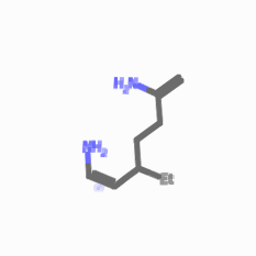 C=C(N)CCC(/C=C\N)CC